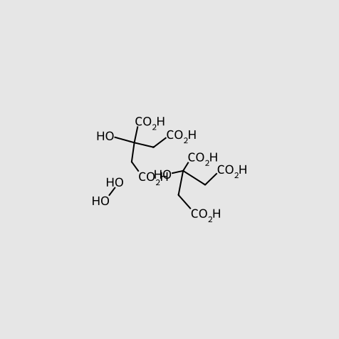 O=C(O)CC(O)(CC(=O)O)C(=O)O.O=C(O)CC(O)(CC(=O)O)C(=O)O.OO